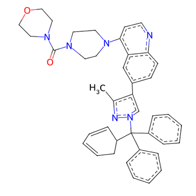 Cc1nn(C(c2ccccc2)(c2ccccc2)C2C=CC=CC2)cc1-c1ccc2nccc(N3CCN(C(=O)N4CCOCC4)CC3)c2c1